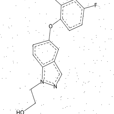 Cc1cc(F)ccc1Oc1ccc2c(cnn2CCO)c1